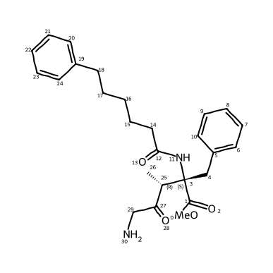 COC(=O)[C@@](Cc1ccccc1)(NC(=O)CCCCCc1ccccc1)[C@@H](C)C(=O)CN